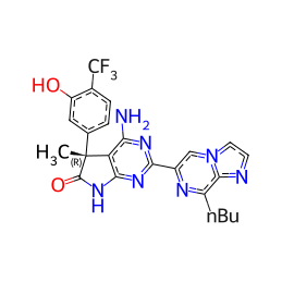 CCCCc1nc(-c2nc(N)c3c(n2)NC(=O)[C@]3(C)c2ccc(C(F)(F)F)c(O)c2)cn2ccnc12